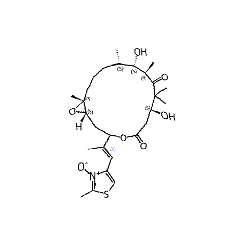 C/C(=C\c1csc(C)[n+]1[O-])C1C[C@@H]2O[C@]2(C)CCC[C@H](C)[C@H](O)[C@@H](C)C(=O)C(C)(C)[C@@H](O)CC(=O)O1